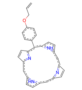 C=CCOc1ccc(-c2c3nc(cc4ccc(cc5nc(cc6ccc2[nH]6)C=C5)[nH]4)C=C3)cc1